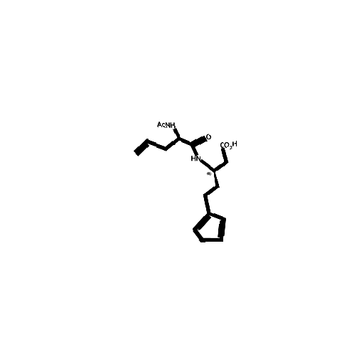 C=CCC(NC(C)=O)C(=O)N[C@H](CCC1=CCC=C1)CC(=O)O